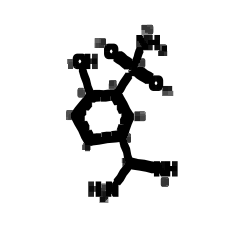 N=C(N)c1ccc(O)c(S(N)(=O)=O)c1